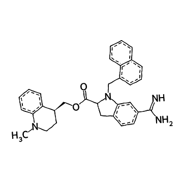 CN1CC[C@H](COC(=O)C2Cc3ccc(C(=N)N)cc3N2Cc2cccc3ccccc23)c2ccccc21